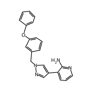 Nc1ncccc1-c1cnn(Cc2cccc(Oc3ccccc3)c2)c1